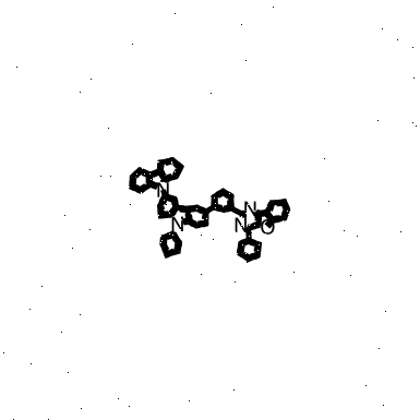 c1ccc(-c2nc(-c3cccc(-c4ccc5c(c4)c4cc(-n6c7ccccc7c7ccccc76)ccc4n5-c4ccccc4)c3)nc3c2oc2ccccc23)cc1